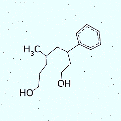 CC(CCCO)CC(CCO)c1ccccc1